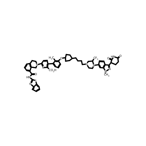 Cc1c(OC2CCC(CCCCN3CCN(c4ccc5c(C6CCC(=O)NC6=O)nn(C)c5c4)C(C(F)(F)F)C3)CC2)cccc1-c1ccc(N2CCc3cccc(C(=O)Nc4nc5ccccc5s4)c3C2)nc1C(=O)O